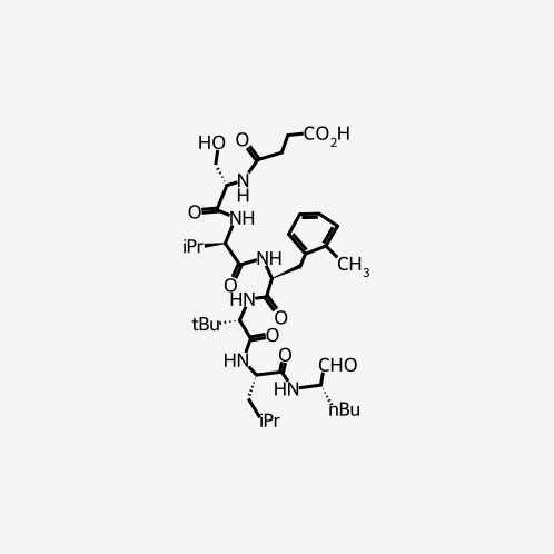 CCCC[C@@H](C=O)NC(=O)[C@H](CC(C)C)NC(=O)[C@@H](NC(=O)[C@H](Cc1ccccc1C)NC(=O)[C@H](NC(=O)[C@H](CO)NC(=O)CCC(=O)O)C(C)C)C(C)(C)C